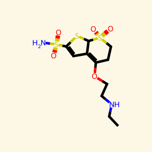 CCNCCOC1=C2C=C(S(N)(=O)=O)SC2S(=O)(=O)CC1